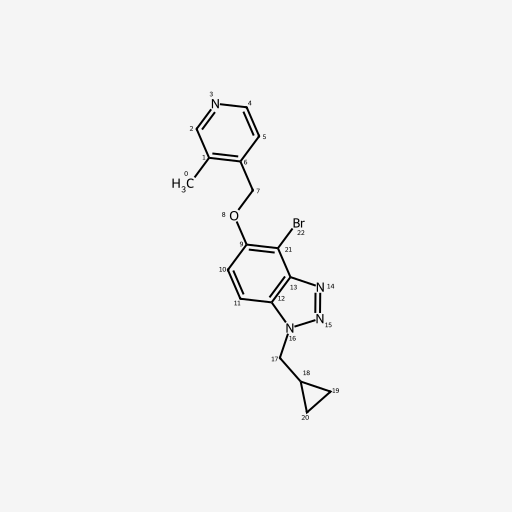 Cc1cnccc1COc1ccc2c(nnn2CC2CC2)c1Br